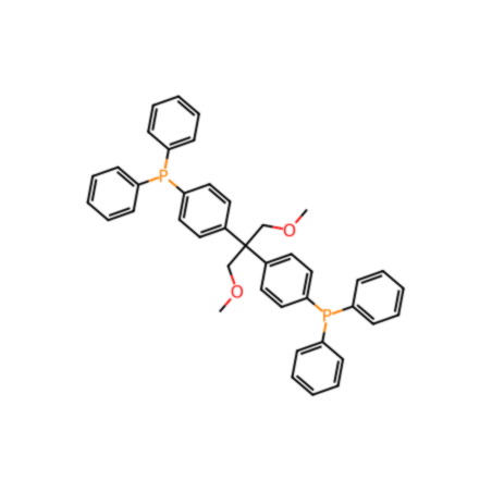 COCC(COC)(c1ccc(P(c2ccccc2)c2ccccc2)cc1)c1ccc(P(c2ccccc2)c2ccccc2)cc1